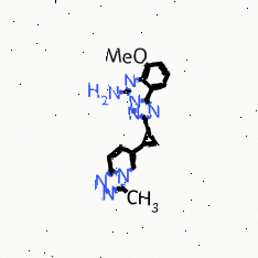 COc1cccc2c1nc(N)n1nc(C3CC3c3ccc4nnc(C)n4c3)nc21